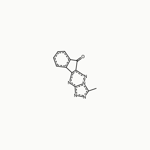 Cc1nnc2nc3c(nn12)C(=O)c1ccccc1-3